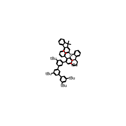 CC(C)(C)c1cc(-c2cc(-c3cc(C(C)(C)C)cc(N(c4ccc5c(c4)C(C)(C)c4ccccc4-5)c4ccccc4C4CCCCC4)c3-c3ccccc3)cc(C(C)(C)C)c2)cc(-c2cc(C(C)(C)C)cc(C(C)(C)C)c2)c1